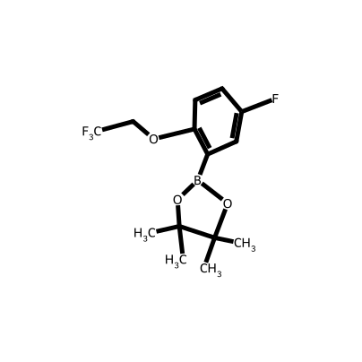 CC1(C)OB(c2cc(F)ccc2OCC(F)(F)F)OC1(C)C